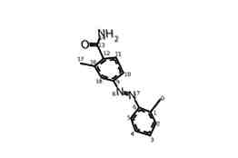 Cc1ccccc1N=Nc1ccc(C(N)=O)c(C)c1